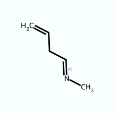 C=CC/C=N/C